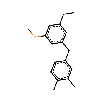 CCc1cc(Cc2ccc(C)c(C)c2)cc(PC)c1